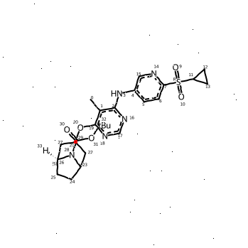 Cc1c(Nc2ccc(S(=O)(=O)C3CC3)nc2)ncnc1OC1CC2CC[C@@H](C1)N2C(=O)OC(C)(C)C